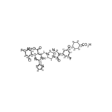 COC(=O)C1=C(CN2CCN3C(=O)N(c4cc(F)cc(O[C@H]5CC[C@H](C(=O)O)CC5)c4)C[C@@H]3C2)NC(c2nccs2)=N[C@H]1c1ccc(F)cc1Cl